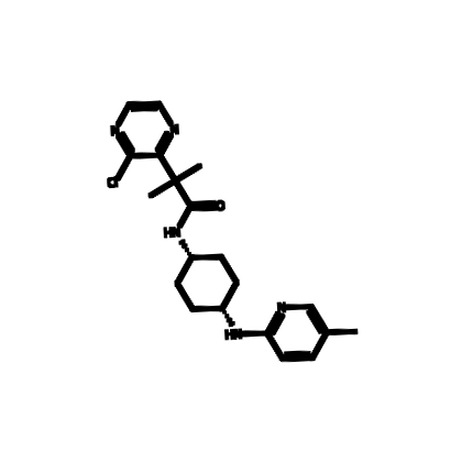 Cc1ccc(N[C@H]2CC[C@@H](NC(=O)C(C)(C)c3nccnc3Cl)CC2)nc1